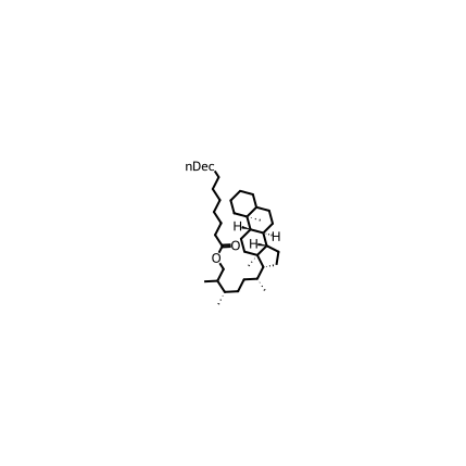 CCCCCCCCCCCCCCCCC(=O)OCC(C)[C@@H](C)CC[C@@H](C)[C@H]1CC[C@H]2[C@@H]3CCC4CCCC[C@]4(C)[C@H]3CC[C@]12C